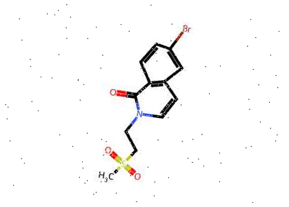 CS(=O)(=O)CCn1ccc2cc(Br)ccc2c1=O